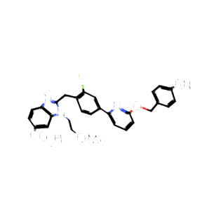 COCCn1c(Cc2ccc(-c3cccc(OCc4ccc(C#N)cc4)n3)cc2F)nc2ccc(C(=O)O)cc21